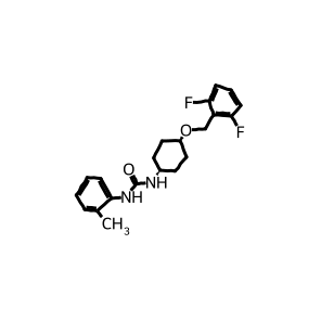 Cc1ccccc1NC(=O)N[C@H]1CC[C@H](OCc2c(F)cccc2F)CC1